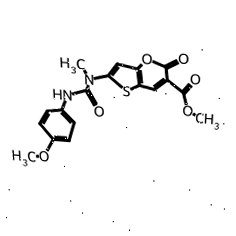 COC(=O)c1cc2sc(N(C)C(=O)Nc3ccc(OC)cc3)cc2oc1=O